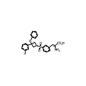 N[C@@H](Cc1cccc(S(=O)(=O)N2CC(Oc3ccccc3)(c3cccc(F)c3)C2)c1)C(=O)O